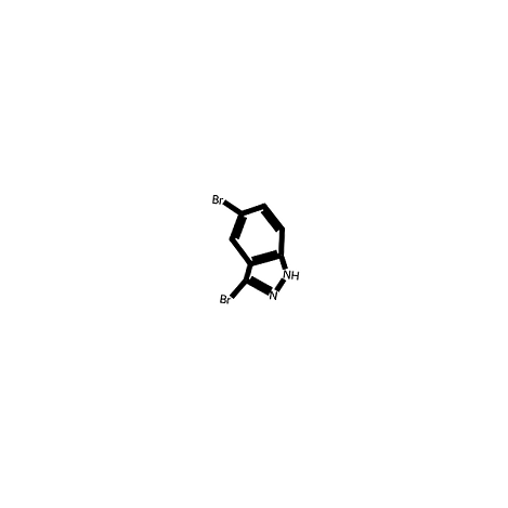 Brc1ccc2[nH]nc(Br)c2c1